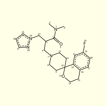 CN(C)C(=O)C(CN1CCC2(CC1)OCCc1ccc(F)cc12)Cn1cccn1